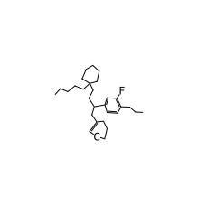 CCCCCC1(CCC(CC2=CCCCC2)c2ccc(CCC)c(F)c2)CCCCC1